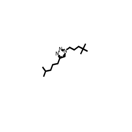 CC(C)CCCc1cn(CCCC(C)(C)C)nn1